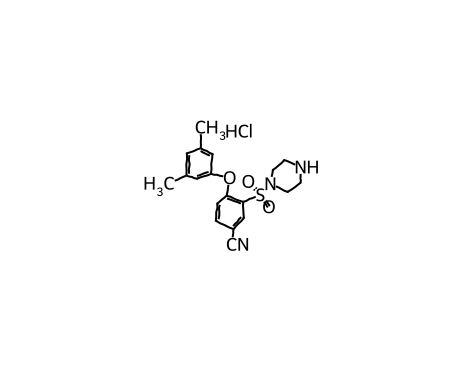 Cc1cc(C)cc(Oc2ccc(C#N)cc2S(=O)(=O)N2CCNCC2)c1.Cl